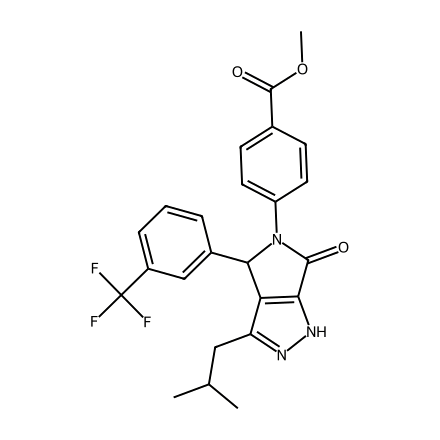 COC(=O)c1ccc(N2C(=O)c3[nH]nc(CC(C)C)c3C2c2cccc(C(F)(F)F)c2)cc1